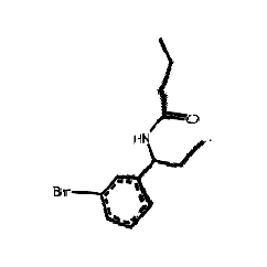 [CH2]CC(NC(=O)CCC)c1cccc(Br)c1